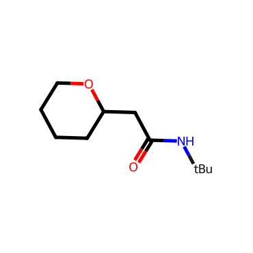 CC(C)(C)NC(=O)CC1CCCCO1